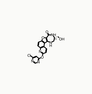 O=C1N[C@H](CO)CNc2c1oc1ccc3nc(Oc4cc(Cl)ncn4)ccc3c21